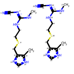 CN/C(=N/C#N)NCCSCc1nc[nH]c1C.CN/C(=N/C#N)NCCSCc1nc[nH]c1C